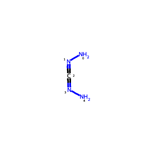 NN=C=NN